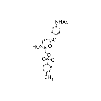 CC(=O)Nc1ccc(O[C@@H]2C=C[C@H](O)[C@@H](COS(=O)(=O)c3ccc(C)cc3)O2)cc1